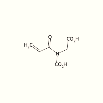 C=CC(=O)N(CC(=O)O)C(=O)O